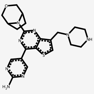 Nc1ncc(-c2nc(N3C4CCC3COC4)nc3c(CN4CCNCC4)csc23)cn1